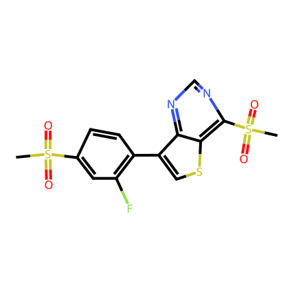 CS(=O)(=O)c1ccc(-c2csc3c(S(C)(=O)=O)ncnc23)c(F)c1